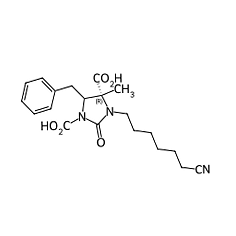 C[C@]1(C(=O)O)C(Cc2ccccc2)N(C(=O)O)C(=O)N1CCCCCCC#N